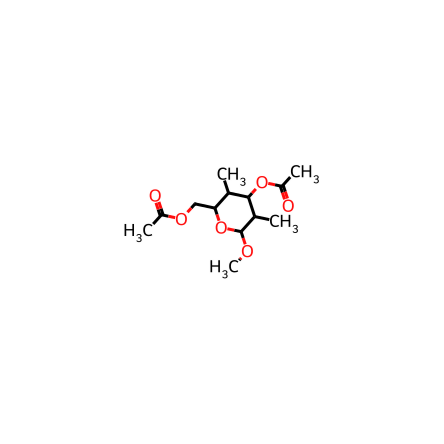 COC1OC(COC(C)=O)C(C)C(OC(C)=O)C1C